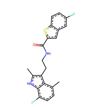 Cc1[nH]c2c(F)ccc(C)c2c1CCNC(=O)c1cc2cc(F)ccc2s1